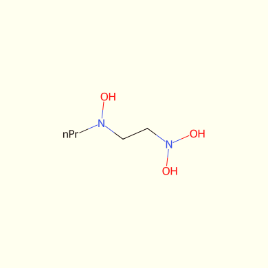 CCCN(O)CCN(O)O